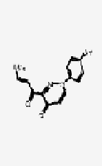 CNC=CC(=O)c1nn(-c2ccc(S)cc2)ccc1=O